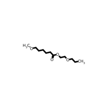 CCCOCCOC(=O)CCCCCOC